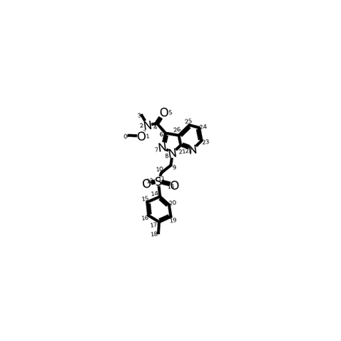 CON(C)C(=O)c1nn(CCS(=O)(=O)c2ccc(C)cc2)c2ncccc12